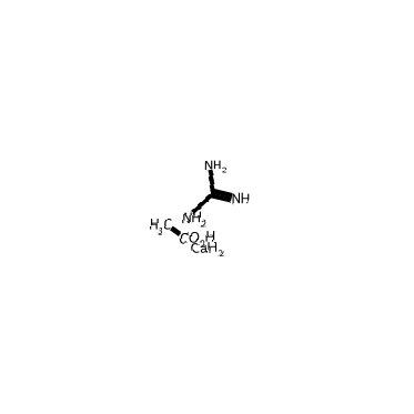 CC(=O)O.N=C(N)N.[CaH2]